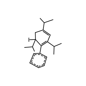 CC(C)C1=CC(C(C)C)=C(c2ccccc2)C(I)(C(C)C)C1